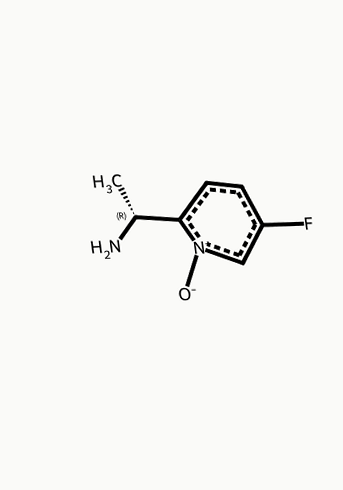 C[C@@H](N)c1ccc(F)c[n+]1[O-]